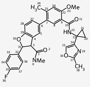 CNC(=O)C1c2cc(-c3cc(C(=O)NC4(c5coc(C)n5)CC4)c(OC)cc3C)ccc2OC1c1ccc(F)cc1